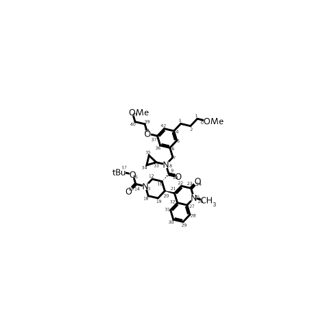 COCCCc1cc(CN(C(=O)[C@H]2CN(C(=O)OC(C)(C)C)CC[C@@H]2c2cc(=O)n(C)c3ccccc23)C2CC2)cc(OCCOC)c1